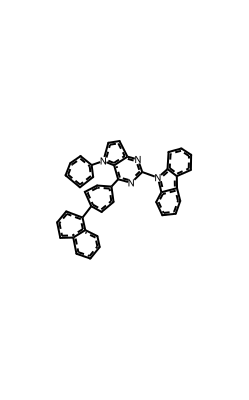 c1ccc(-n2ccc3nc(-n4c5ccccc5c5ccccc54)nc(-c4ccc(-c5cccc6ccccc56)cc4)c32)cc1